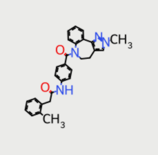 Cc1ccccc1CC(=O)Nc1ccc(C(=O)N2CCc3cn(C)nc3-c3ccccc32)cc1